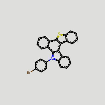 Brc1ccc(-n2c3ccccc3c3c4c5ccccc5sc4c4ccccc4c32)cc1